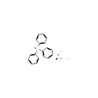 CO[PH](=O)OC.C[PH](c1ccccc1)(c1ccccc1)c1ccccc1